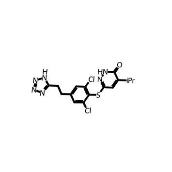 CC(C)c1cc(Sc2c(Cl)cc(CCc3nnn[nH]3)cc2Cl)n[nH]c1=O